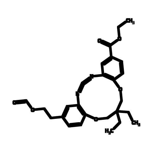 CCOC(=O)c1ccc2c(c1)N=C=Nc1cc(CCOC=O)ccc1OCC(CC)(CC)CO2